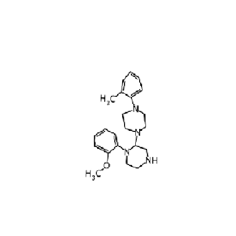 COc1ccccc1N1CCNCC1N1CCN(c2ccccc2C)CC1